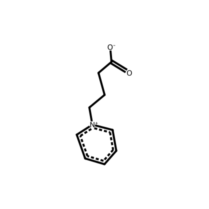 O=C([O-])CCC[n+]1ccccc1